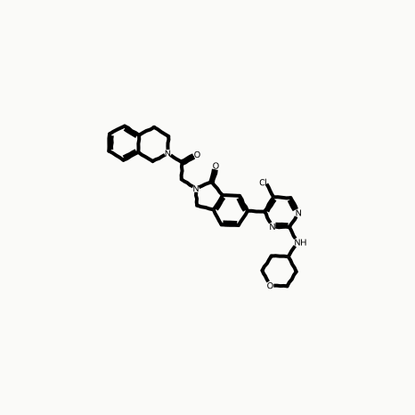 O=C(CN1Cc2ccc(-c3nc(NC4CCOCC4)ncc3Cl)cc2C1=O)N1CCc2ccccc2C1